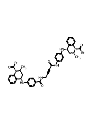 CCC(=O)N1c2ccccc2[C@H](Nc2ccc(NC(=O)C#CCNC(=O)c3ccc(N[C@@H]4C[C@H](C)N(C(=O)CC)c5ccccc54)cc3)cc2)C[C@@H]1C